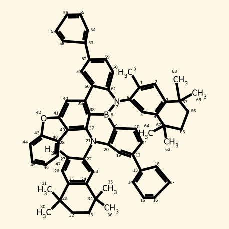 Cc1cc2c(cc1N1B3c4ccc(-c5ccccc5)cc4N(c4cc5c(cc4C)C(C)(C)CCC5(C)C)c4c3c(cc3oc5ccccc5c43)-c3cc(-c4ccccc4)ccc31)C(C)(C)CCC2(C)C